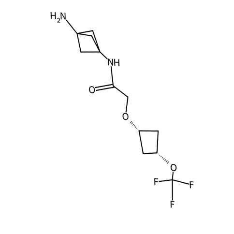 NC12CC(NC(=O)CO[C@H]3C[C@@H](OC(F)(F)F)C3)(C1)C2